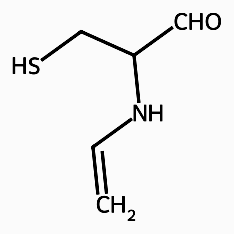 C=CNC(C=O)CS